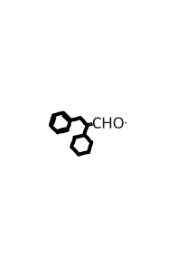 O=[C]C(Cc1ccccc1)C1CCCCC1